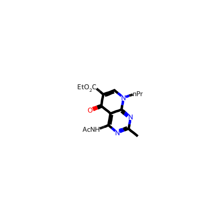 CCCn1cc(C(=O)OCC)c(=O)c2c(NC(C)=O)nc(C)nc21